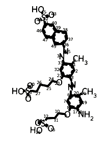 Cc1cc(N=Nc2cc(OCCCS(=O)(=O)O)c(N)cc2C)c(OCCCCS(=O)(=O)O)cc1N=Nc1ccc2cc(S(=O)(=O)O)ccc2c1